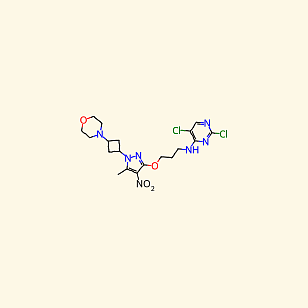 Cc1c([N+](=O)[O-])c(OCCCNc2nc(Cl)ncc2Cl)nn1C1CC(N2CCOCC2)C1